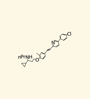 CCCNC(CCOc1ccc(C#Cc2ccc(-c3ccc(Cl)cc3)cn2)cc1C)C1CC1